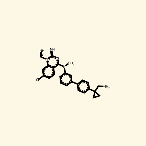 CN(c1cccc(-c2ccc(C3(CN)CC3)cc2)c1)c1nc(=N)n(C=N)c2cc(Cl)ccc12